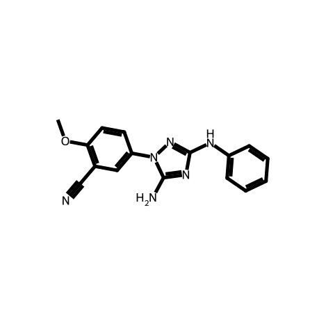 COc1ccc(-n2nc(Nc3ccccc3)nc2N)cc1C#N